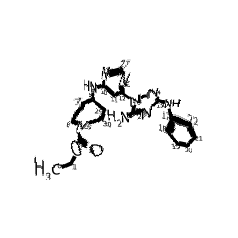 CCOC(=O)N1CCC(Nc2cc(-n3nc(Nc4ccccc4)nc3N)ncn2)CC1